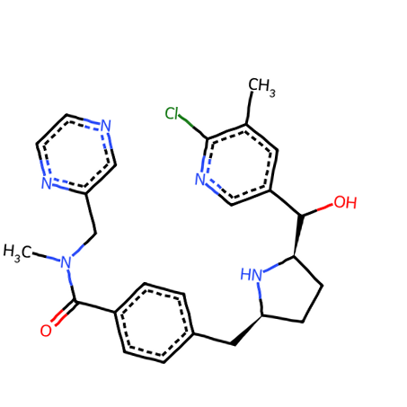 Cc1cc(C(O)[C@H]2CC[C@@H](Cc3ccc(C(=O)N(C)Cc4cnccn4)cc3)N2)cnc1Cl